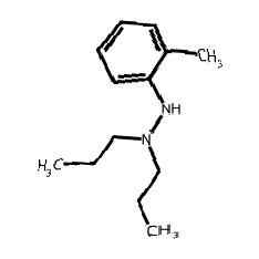 CCCN(CCC)Nc1ccccc1C